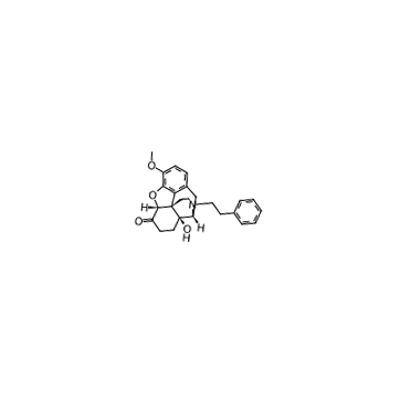 COc1ccc2c3c1O[C@H]1C(=O)CC[C@@]4(O)[C@@H](C2)N(CCc2ccccc2)CC[C@]314